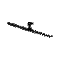 CCCCCC=CCC=CCCCCCCCCN(CCCCO)CCCCCCCCC=CCC=CCCCCC